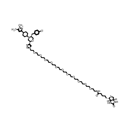 Cc1cc(C2CCC(N3C[C@H](c4cn(CCOCCOCCOCCOCCOCCOCCOCCOCCOCCOCCOCCNC(=O)CCCC[C@@H]5SC[C@@H]6NC(=O)N[C@@H]65)nn4)OC[C@@H]3Cc3ccc(Cl)cc3)CC2)nn1C